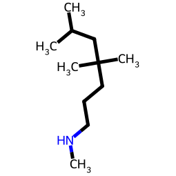 CNCCCC(C)(C)CC(C)C